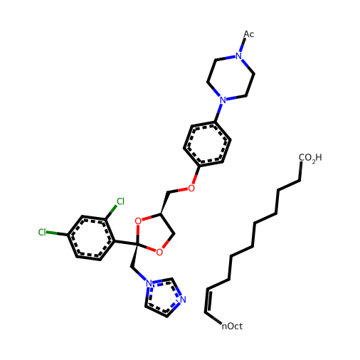 CC(=O)N1CCN(c2ccc(OC[C@H]3CO[C@](Cn4ccnc4)(c4ccc(Cl)cc4Cl)O3)cc2)CC1.CCCCCCCC/C=C\CCCCCCCC(=O)O